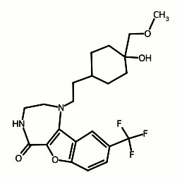 COCC1(O)CCC(CCN2CCNC(=O)c3oc4ccc(C(F)(F)F)cc4c32)CC1